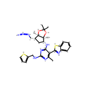 Cc1nc(NCc2cccs2)nc(N[C@@H]2C[C@H](CN=[N+]=[N-])[C@H]3OC(C)(C)O[C@H]32)c1-c1nc2ccccc2s1